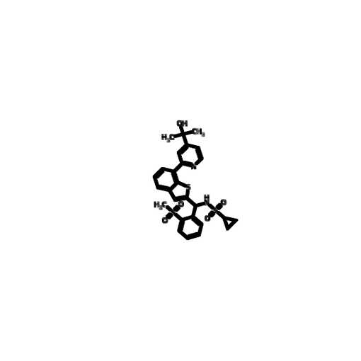 CC(C)(O)c1ccnc(-c2cccc3cc(C(NS(=O)(=O)C4CC4)c4ccccc4S(C)(=O)=O)sc23)c1